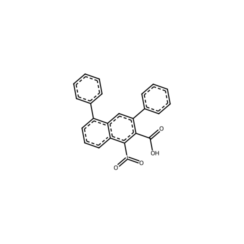 O=C(O)c1c(-c2ccccc2)cc2c(-c3ccccc3)cccc2c1I(=O)=O